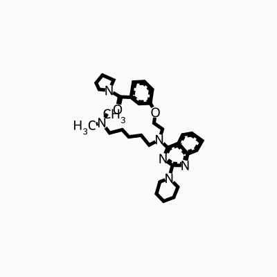 CN(C)CCCCCN(CCOc1cccc(C(=O)N2CCCC2)c1)c1nc(N2CCCCC2)nc2ccccc12